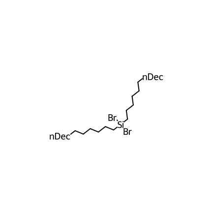 CCCCCCCCCCCCCCCC[Si](Br)(Br)CCCCCCCCCCCCCCCC